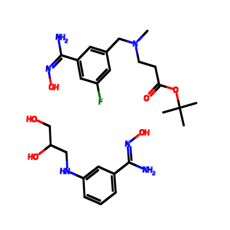 CN(CCC(=O)OC(C)(C)C)Cc1cc(F)cc(/C(N)=N\O)c1.N/C(=N\O)c1cccc(NCC(O)CO)c1